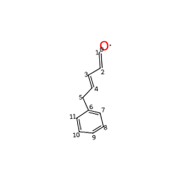 [O]C=CC=CCc1ccccc1